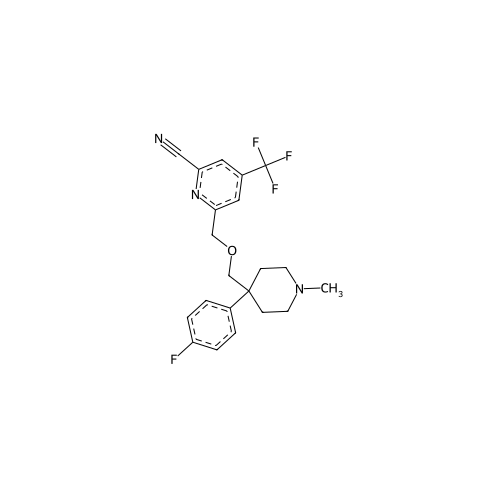 CN1CCC(COCc2cc(C(F)(F)F)cc(C#N)n2)(c2ccc(F)cc2)CC1